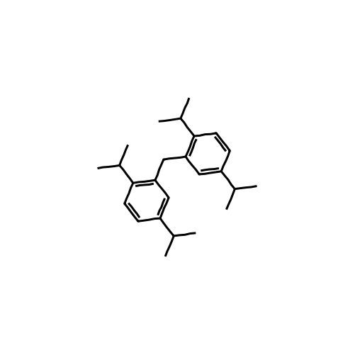 CC(C)c1ccc(C(C)C)c(Cc2cc(C(C)C)ccc2C(C)C)c1